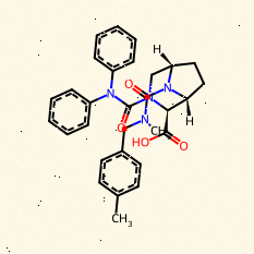 Cc1ccc(CN(C)C(=O)N2[C@H]3CC[C@@H]2[C@@H](C(=O)O)N(C(=O)N(c2ccccc2)c2ccccc2)C3)cc1